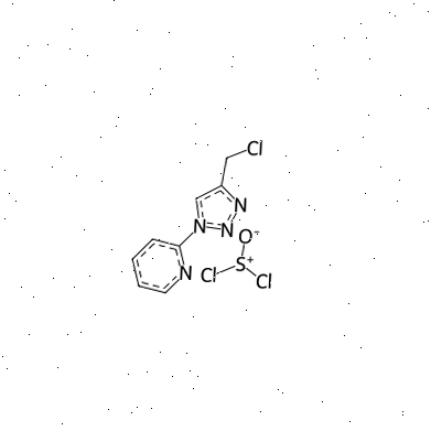 ClCc1cn(-c2ccccn2)nn1.[O-][S+](Cl)Cl